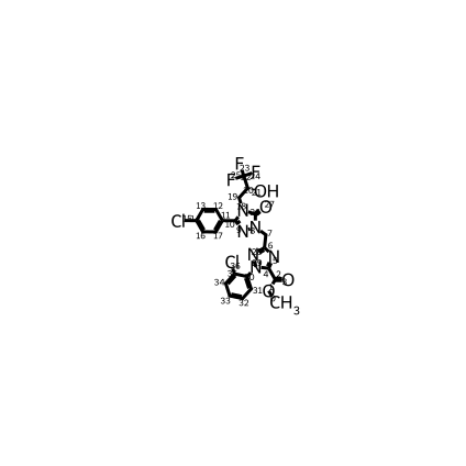 COC(=O)c1nc(Cn2nc(-c3ccc(Cl)cc3)n(C[C@@H](O)C(F)(F)F)c2=O)nn1-c1ccccc1Cl